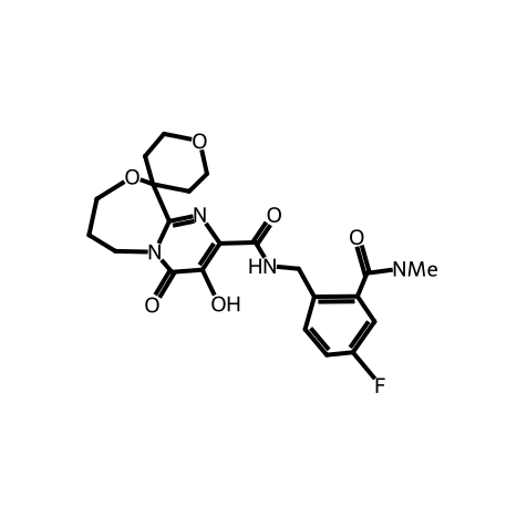 CNC(=O)c1cc(F)ccc1CNC(=O)c1nc2n(c(=O)c1O)CCCOC21CCOCC1